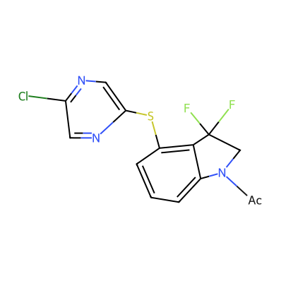 CC(=O)N1CC(F)(F)c2c(Sc3cnc(Cl)cn3)cccc21